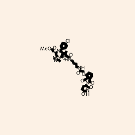 COC(=O)C[C@@H]1N=C(c2ccc(Cl)cc2)c2c(sc(C(=O)NCCCCNC(=O)COc3cccc4c3C(=O)N(C3CCC(=O)NC3=O)C4=O)c2C)-n2c(C)nnc21